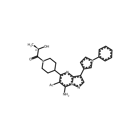 CC(=O)c1c(C2CCN(C(=O)[C@@H](C)O)CC2)nc2c(-c3ccn(-c4ccccc4)c3)cnn2c1N